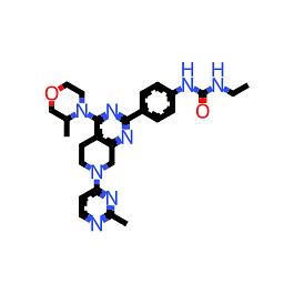 CCNC(=O)Nc1ccc(-c2nc3c(c(N4CCOCC4C)n2)CCN(c2ccnc(C)n2)C3)cc1